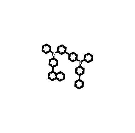 c1ccc(-c2ccc(N(c3ccccc3)c3ccc(-c4cccc(N(c5ccccc5)c5ccc(-c6cccc7ccccc67)cc5)c4)cc3)cc2)cc1